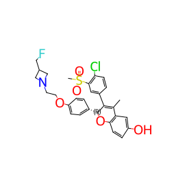 CC1=C(c2ccc(Cl)c(S(C)(=O)=O)c2)[C@@H](c2ccc(OCCN3CC(CF)C3)cc2)Oc2ccc(O)cc21